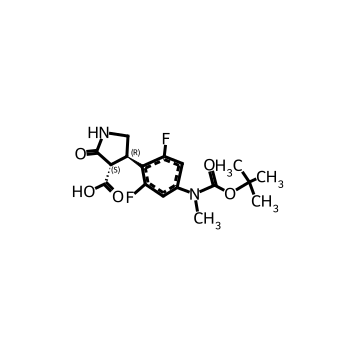 CN(C(=O)OC(C)(C)C)c1cc(F)c([C@@H]2CNC(=O)[C@H]2C(=O)O)c(F)c1